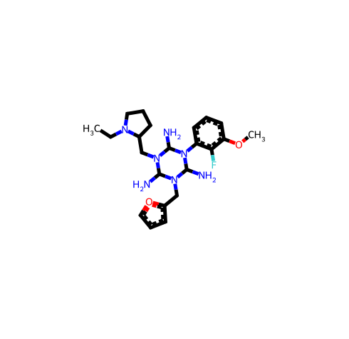 CCN1CCCC1CN1C(N)N(Cc2ccco2)C(N)N(c2cccc(OC)c2F)C1N